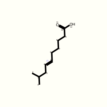 CC(C)C/C=C/CCCCC(=O)O